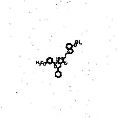 COc1cccc(C(=O)NC(CCC2CCCCC2)C(=O)NCCN2CCc3c(OC)cccc32)c1